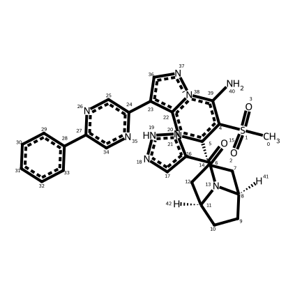 CS(=O)(=O)c1c([C@@H]2C[C@H]3CC[C@@H](C2)N3C(=O)c2cn[nH]n2)nc2c(-c3cnc(-c4ccccc4)cn3)cnn2c1N